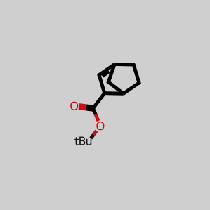 CC(C)(C)OC(=O)C1C=C2CCC1C2